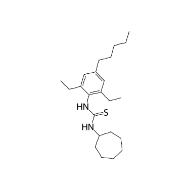 CCCCCc1cc(CC)c(NC(=S)NC2CCCCCC2)c(CC)c1